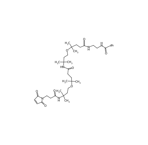 CC(C)C(=O)NCCNC(=O)CCC(C)(C)OCCC(C)(C)NC(=O)CCC(C)(C)OCCC(C)(C)NC(=O)CCN1C(=O)C=CC1=O